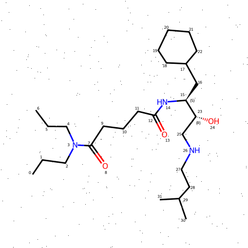 CCCN(CCC)C(=O)CCCC(=O)N[C@@H](CC1CCCCC1)[C@H](O)CNCCC(C)C